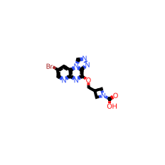 O=C(O)N1CC(COc2nc3ncc(Br)cc3n3cnnc23)C1